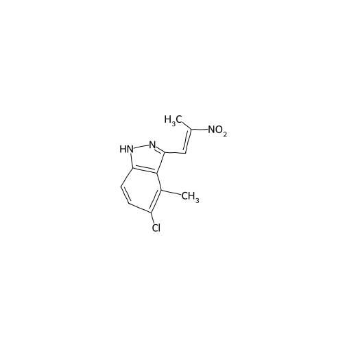 CC(=Cc1n[nH]c2ccc(Cl)c(C)c12)[N+](=O)[O-]